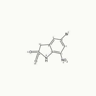 O=[N+]([O-])c1cc(Br)cc2c1NS(=O)(=O)C2